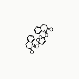 O=C(/C=C\C(=O)ON1C(=O)CCc2ccccc21)ON1C(=O)CCc2ccccc21